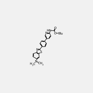 CN(C)c1ccc2nc(-c3ccc(-c4ccc(NC(=O)OC(C)(C)C)nc4)cc3)sc2c1